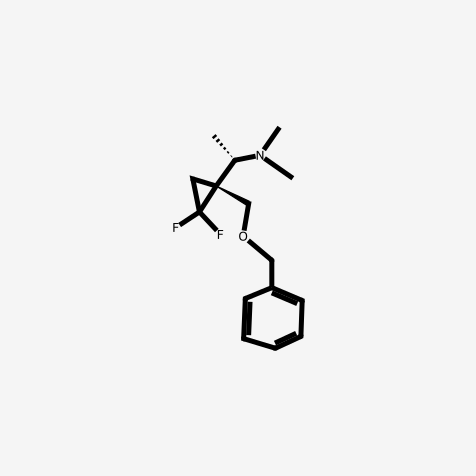 C[C@H](N(C)C)[C@@]1(COCc2ccccc2)CC1(F)F